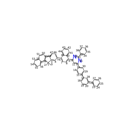 CC1(C)c2cc(-c3ccc(-c4cc(-c5ccc(-c6cccc(-c7ccccc7)c6)cc5)nc(-c5ccccc5)n4)c4ccccc34)ccc2-c2ccc3ccccc3c21